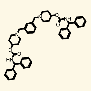 O=C(NC(c1ccccc1)c1ccccc1)OC1CCN(Cc2cccc(CN3CCC(OC(=O)NC(c4ccccc4)c4ccccc4)CC3)c2)CC1